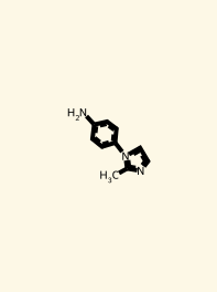 Cc1nccn1-c1ccc(N)cc1